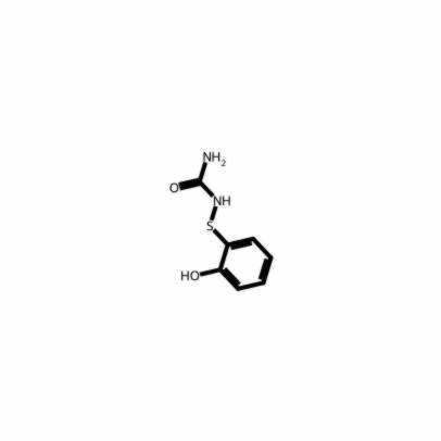 NC(=O)NSc1ccccc1O